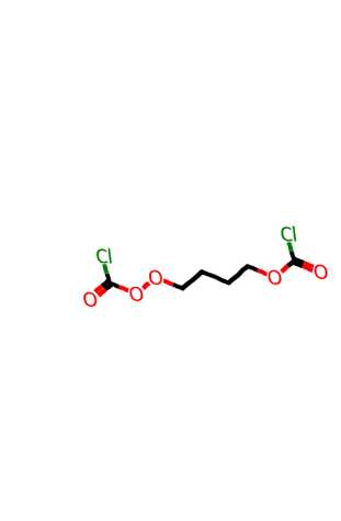 O=C(Cl)OCCCCOOC(=O)Cl